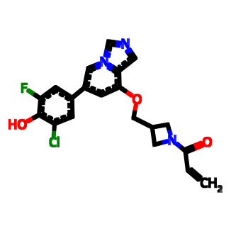 C=CC(=O)N1CC(COc2cc(-c3cc(F)c(O)c(Cl)c3)cn3cncc23)C1